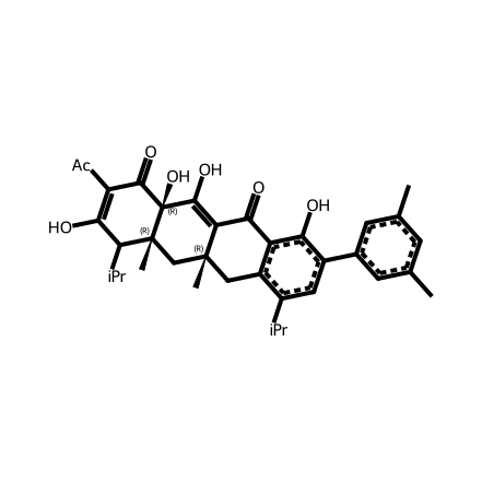 CC(=O)C1=C(O)C(C(C)C)[C@@]2(C)C[C@@]3(C)Cc4c(C(C)C)cc(-c5cc(C)cc(C)c5)c(O)c4C(=O)C3=C(O)[C@@]2(O)C1=O